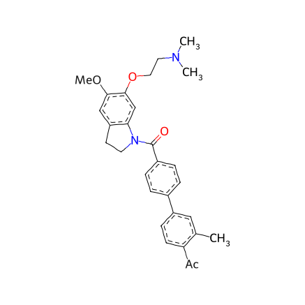 COc1cc2c(cc1OCCN(C)C)N(C(=O)c1ccc(-c3ccc(C(C)=O)c(C)c3)cc1)CC2